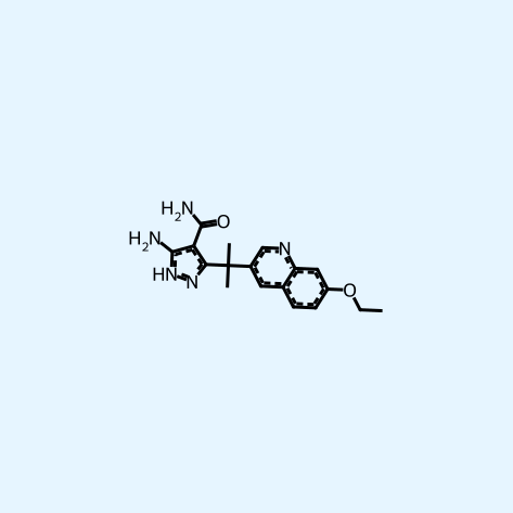 CCOc1ccc2cc(C(C)(C)c3n[nH]c(N)c3C(N)=O)cnc2c1